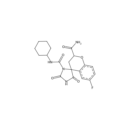 NC(=O)C1CC2(C(=O)NC(=O)N2C(=O)NC2CCCCC2)c2cc(F)ccc2O1